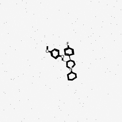 COc1ccc(OC[C@H]2CN(C3CCCCC3)CC[C@@H]2c2ccc(F)cc2)cc1